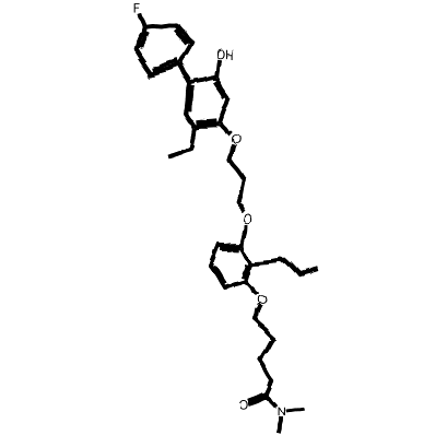 CCCc1c(OCCCCC(=O)N(C)C)cccc1OCCCOc1cc(O)c(-c2ccc(F)cc2)cc1CC